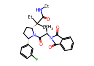 CCNC(=O)C(CC)(CC)[C@H]1CC[C@@H](c2cccc(F)c2)N1C(=O)[C@@H](C)N1C(=O)c2ccccc2C1=O